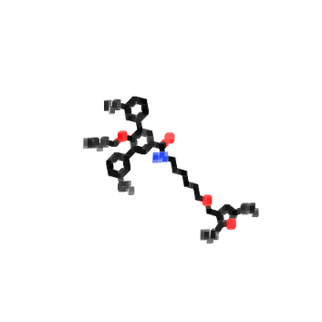 Cc1cc(COCCCCCCNC(=O)c2cc(-c3cccc(C(F)(F)F)c3)c(OCC(=O)O)c(-c3cccc(C(F)(F)F)c3)c2)c(C)o1